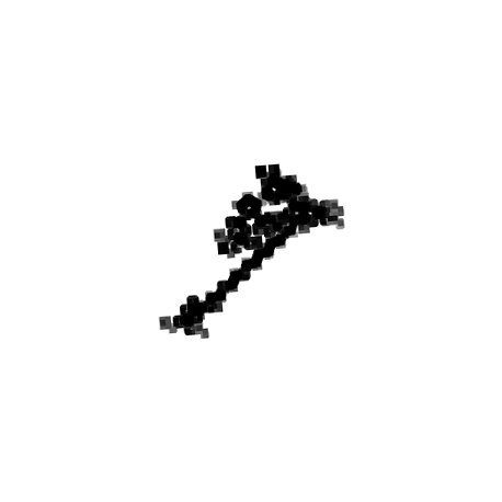 CC(C)(C)OC(=O)NCCOCCOCCCCCCN(C[C@H]1O[C@@H](n2cnc3c(N)ncnc32)[C@@H]2OC(C)(C)O[C@@H]21)S(=O)(=O)NC(=O)[C@@H]1CCCN1C(=O)OC(C)(C)C